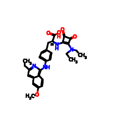 CCc1cc2cc(OC)ccc2c(Nc2ccc(C[C@H](Nc3c(N(CC)CC)c(=O)c3=O)C(=O)O)cc2)n1